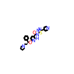 O=C(Nc1nnc(-c2ccncc2)s1)c1ccc(O[C@@H](CCN2CCCC2)c2ccccc2)nc1